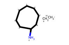 NC1[CH]CCCCCC1.[CH2].[CH2]